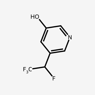 Oc1cncc(C(F)C(F)(F)F)c1